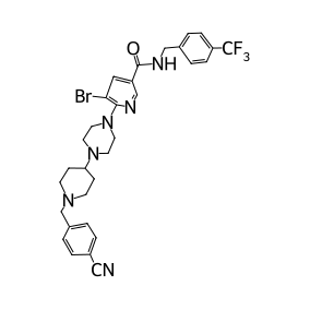 N#Cc1ccc(CN2CCC(N3CCN(c4ncc(C(=O)NCc5ccc(C(F)(F)F)cc5)cc4Br)CC3)CC2)cc1